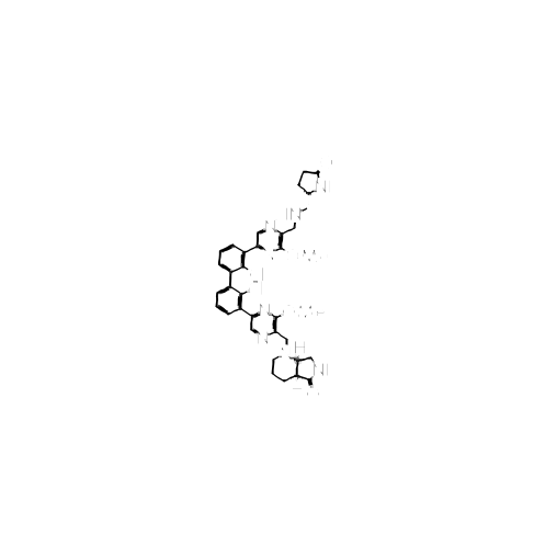 COc1nc(-c2cccc(-c3cccc(-c4cnc(CN5CCC[C@@H]6C(=O)NC[C@@H]65)c(OC)n4)c3Cl)c2Cl)cnc1CNC[C@@H]1CCC(=O)N1